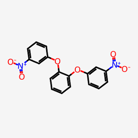 O=[N+]([O-])c1cccc(Oc2ccccc2Oc2cccc([N+](=O)[O-])c2)c1